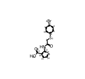 O=C(CSc1ccc(Br)cc1)Nc1sccc1C(=O)O